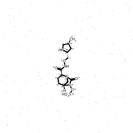 C[C@@H]1CN[C@@H](CONC(=O)[C@@H]2CC[C@@H]3CN2C(=O)N3OS(=O)(=O)O)C1